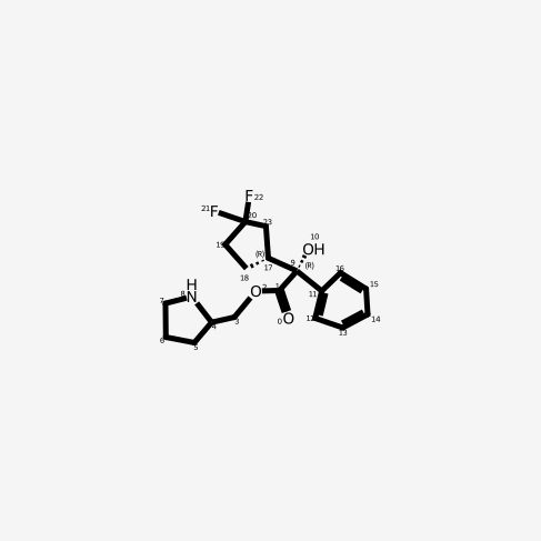 O=C(OCC1CCCN1)[C@](O)(c1ccccc1)[C@@H]1CCC(F)(F)C1